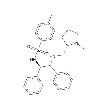 Cc1ccc(S(=O)(=O)N[C@H](c2ccccc2)[C@H](NC[C@@H]2CCCN2C)c2ccccc2)cc1